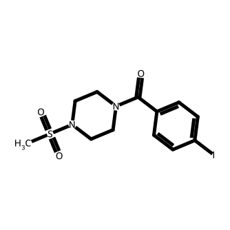 CS(=O)(=O)N1CCN(C(=O)c2ccc(I)cc2)CC1